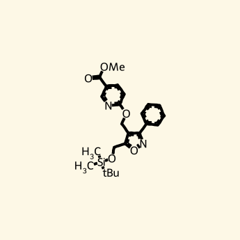 COC(=O)c1ccc(OCc2c(-c3ccccc3)noc2CO[Si](C)(C)C(C)(C)C)nc1